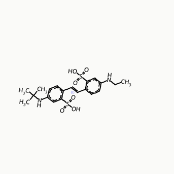 CCNc1ccc(/C=C/c2ccc(NC(C)(C)C)cc2S(=O)(=O)O)c(S(=O)(=O)O)c1